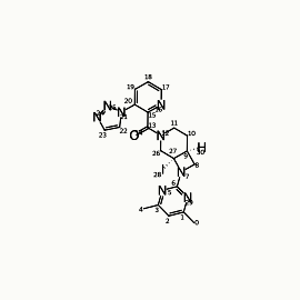 Cc1cc(C)nc(N2C[C@@H]3CCN(C(=O)c4ncccc4-n4ccnn4)C[C@@]32I)n1